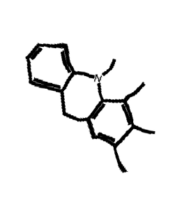 Cc1cc2c(c(C)c1C)N(C)c1ccccc1C2